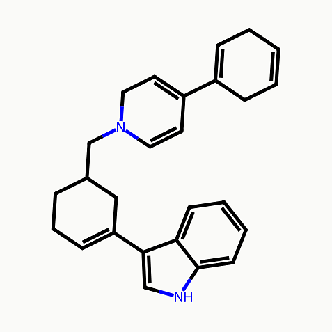 C1=CCC(C2=CCN(CC3CCC=C(c4c[nH]c5ccccc45)C3)C=C2)=CC1